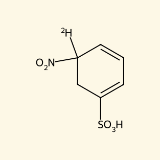 [2H]C1([N+](=O)[O-])C=CC=C(S(=O)(=O)O)C1